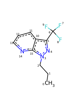 CCCn1nc(C(F)(F)F)c2cccnc21